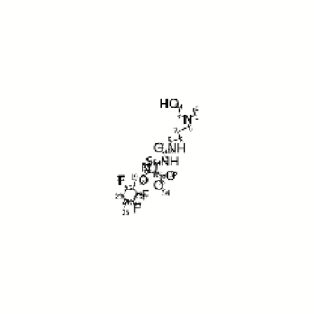 CCN(CCO)CCCCNC(=O)Nc1snc(OCc2c(F)cc(C)c(F)c2F)c1C(=O)OC